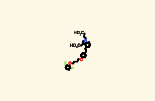 O=C(O)CCCn1cc(CC(=O)O)c2c(C=Cc3ccc(OCCCCOc4c(F)cccc4F)cc3)cccc21